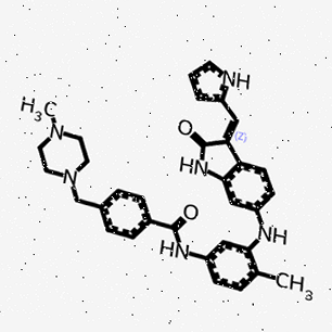 Cc1ccc(NC(=O)c2ccc(CN3CCN(C)CC3)cc2)cc1Nc1ccc2c(c1)NC(=O)/C2=C\c1ccc[nH]1